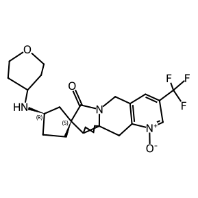 O=C1N2Cc3cc(C(F)(F)F)c[n+]([O-])c3CC23CCCC3[C@@]12CC[C@@H](NC1CCOCC1)C2